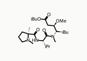 CC[C@H](C)[C@@H]([C@@H](CC(=O)OCC(C)C)OC)N(C)C(=O)[C@@H](NC(=O)[C@]1(C)CCCN1C)C(C)C